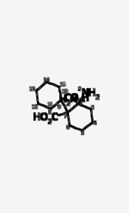 NC1(N)CCCCC1(C(=O)O)C1(C(=O)O)CCCCC1